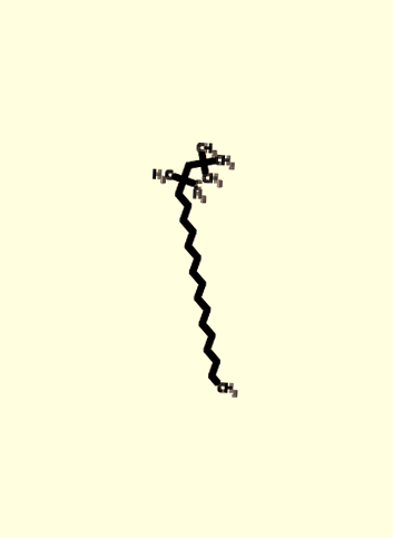 CCCCCCCCCCCCCCCCC(C)(C)CC(C)(C)C